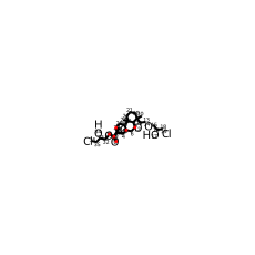 CC(C)C1=CC23CCC4C(C)(C(=O)COCC(O)CCl)CCCC4(C)C2CC1C(C(=O)OCC(O)CCl)C3